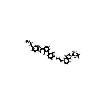 Cc1c(OCCCN2CCCC3(CCN(C(=O)OC(C)(C)C)C3)C2)cccc1-c1cccc(-c2nc3c(s2)CN(CCO)CC3)c1C